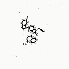 N#CCn1c(=O)n(C2CCC(O)c3ccccc32)c2nc(-n3cnc4ccc(F)cc43)ncc21